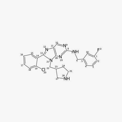 Fc1cccc(CNc2ncc3nc(-c4ccccc4Cl)n(CC4CCNC4)c3n2)c1